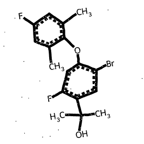 Cc1cc(F)cc(C)c1Oc1cc(F)c(C(C)(C)O)cc1Br